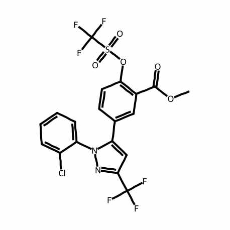 COC(=O)c1cc(-c2cc(C(F)(F)F)nn2-c2ccccc2Cl)ccc1OS(=O)(=O)C(F)(F)F